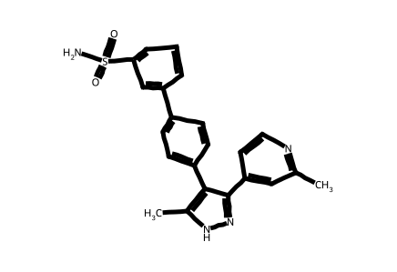 Cc1cc(-c2n[nH]c(C)c2-c2ccc(-c3cccc(S(N)(=O)=O)c3)cc2)ccn1